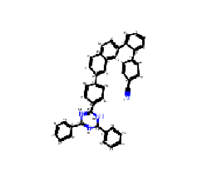 N#Cc1ccc(-c2ccccc2-c2ccc3ccc(-c4ccc(C5=NC(c6ccccc6)=NC(c6ccccc6)N5)cc4)cc3c2)cc1